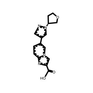 O=C(O)c1cn2cc(-c3cnn([C@H]4CCOC4)c3)ccc2n1